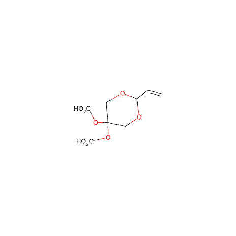 C=CC1OCC(OC(=O)O)(OC(=O)O)CO1